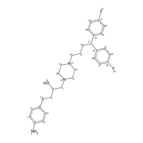 Nc1ccc(SCC(O)CN2CCN(CCCC(c3ccc(F)cc3)c3ccc(F)cc3)CC2)cc1